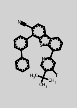 CC(C)(C)c1cnc(-c2cccc3c2sc2c(-c4cccc(-c5ccccc5)c4)c(C#N)ccc23)cc1F